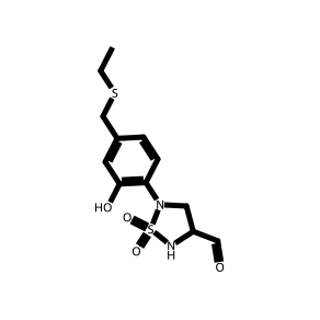 CCSCc1ccc(N2CC(C=O)NS2(=O)=O)c(O)c1